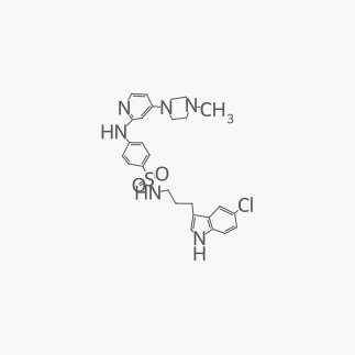 CN1CCN(c2ccnc(Nc3ccc(S(=O)(=O)NCCCc4c[nH]c5ccc(Cl)cc45)cc3)c2)CC1